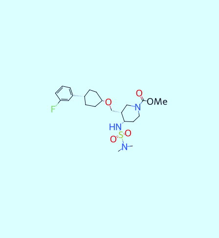 COC(=O)N1CC[C@H](NS(=O)(=O)N(C)C)[C@H](CO[C@H]2CC[C@@H](c3cccc(F)c3)CC2)C1